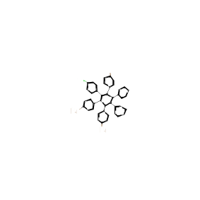 Clc1ccc(-c2c(-c3ccc(Br)cc3)c(-c3ccccc3)c(-c3ccccc3)c(-c3ccc(Br)cc3)c2-c2ccc(Br)cc2)cc1